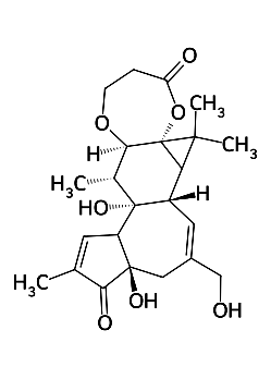 CC1=CC2[C@@]3(O)[C@H](C)[C@H]4OCCC(=O)O[C@]45C([C@@H]3C=C(CO)C[C@]2(O)C1=O)C5(C)C